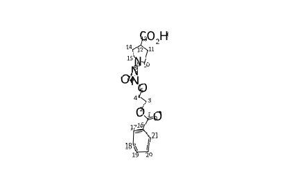 O=C(OCCOn1on1N1CCC(C(=O)O)CC1)c1ccccc1